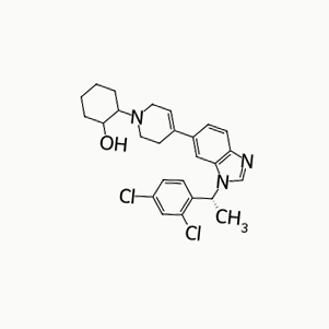 C[C@H](c1ccc(Cl)cc1Cl)n1cnc2ccc(C3=CCN(C4CCCCC4O)CC3)cc21